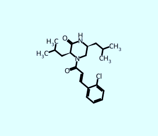 CC(C)C[C@H]1CN(C(=O)C=Cc2ccccc2Cl)[C@@H](CC(C)C)C(=O)N1